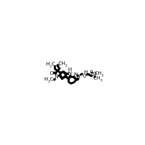 C=CCC1(CC=C)C(=O)N(CC)c2cc3c4c([nH]c3cc21)-c1nn(COCC[Si](C)(C)C)cc1CCC4